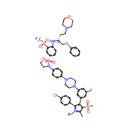 Cc1c(S(C)(=O)=O)c(-c2cc(F)cc(N3CCN(c4ccc(N5CCO[P@@]5(=O)c5ccc(N[C@H](CCN6CCOCC6)CSc6ccccc6)c(S(=O)(=O)C(F)(F)F)c5)cc4)CC3)c2)c(-c2ccc(Cl)cc2)n1C(C)C